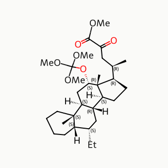 CC[C@H]1C[C@@H]2[C@H](C[C@H](OC(OC)(OC)OC)[C@]3(C)[C@@H]([C@H](C)CC(=O)C(=O)OC)CC[C@@H]23)[C@@]2(C)CCCC[C@@H]12